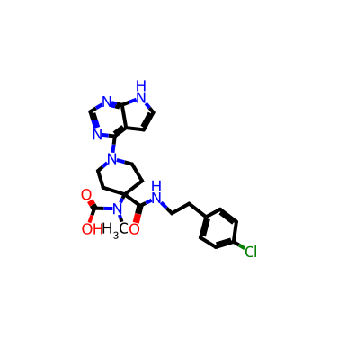 CN(C(=O)O)C1(C(=O)NCCc2ccc(Cl)cc2)CCN(c2ncnc3[nH]ccc23)CC1